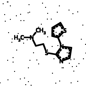 CN(C)CCSc1nccn1-c1cccs1